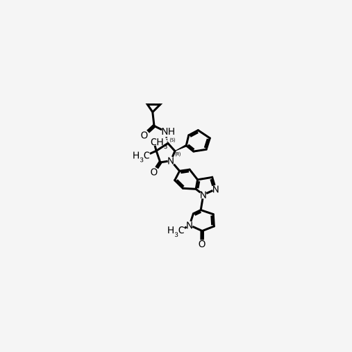 Cn1cc(-n2ncc3cc(N4C(=O)C(C)(C)[C@H](NC(=O)C5CC5)[C@H]4c4ccccc4)ccc32)ccc1=O